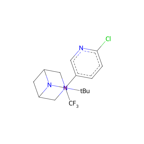 CC(C)(C)N1CC2CC(C1)N2C(c1ccc(Cl)nc1)C(F)(F)F